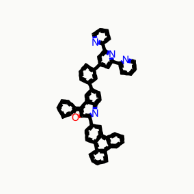 c1ccc(-c2cc(-c3cccc(-c4ccc5nc(-c6ccc7c8ccccc8c8ccccc8c7c6)c6oc7ccccc7c6c5c4)c3)cc(-c3ccccn3)n2)nc1